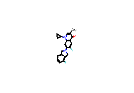 O=C(O)c1cn(C2CC2)c2cc(N3Cc4cccc(F)c4C3)c(F)cc2c1=O